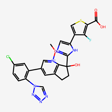 CO[n+]1cc(-c2cc(Cl)ccc2-n2cnnn2)cc2c1C(O)(c1ncc(-c3csc(C(=O)O)c3F)[nH]1)CC2